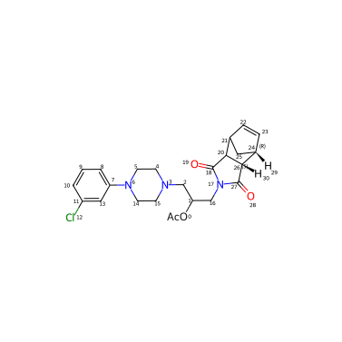 CC(=O)OC(CN1CCN(c2cccc(Cl)c2)CC1)CN1C(=O)C2C3C=C[C@@H](C3)[C@@H]2C1=O